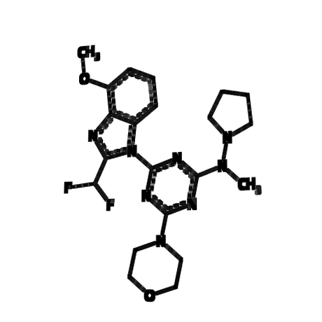 COc1cccc2c1nc(C(F)F)n2-c1nc(N2CCOCC2)nc(N(C)N2CCCC2)n1